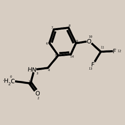 [CH2]C(=O)NCc1cccc(OC(F)F)c1